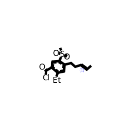 C/C=C/CCc1cc(CC)c(C(=O)Cl)cc1S(C)(=O)=O